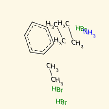 Br.Br.Br.CC.CC.CC.N.c1ccccc1